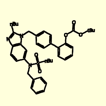 CCCCc1nc2ccc(N(Cc3ccccc3)S(=O)(=O)CCCC)cc2n1Cc1ccc(-c2ccccc2OC(=O)OC(C)(C)C)cc1